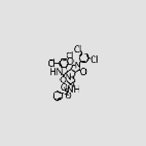 O=C1C2C3C[C@H](NS(=O)(=O)c4ccccc4)CN3C3(C(=O)Nc4c(Cl)cc(Cl)cc43)C2C(=O)N1c1cc(Cl)cc(Cl)c1